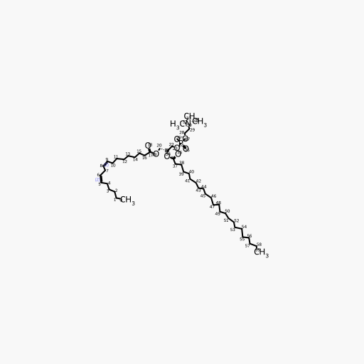 CCCCC/C=C\C/C=C\CCCCCCCC(=O)OC[C@H](COP(=O)([O-])OCC[N+](C)(C)C)OC(=O)CCCCCCCCCCCCCCCCCCCCCCC